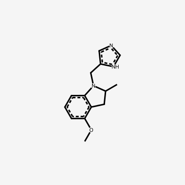 COc1cccc2c1CC(C)N2Cc1cnc[nH]1